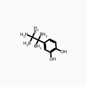 BC(B)(N)C(B)(B)c1ccc(O)c(O)c1